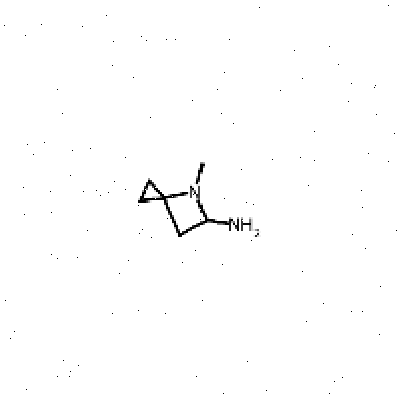 CN1C(N)CC12CC2